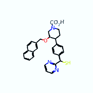 O=C(O)N1CCC(c2ccc(C(S)c3ncccn3)cc2)C(OCc2ccc3ccccc3c2)C1